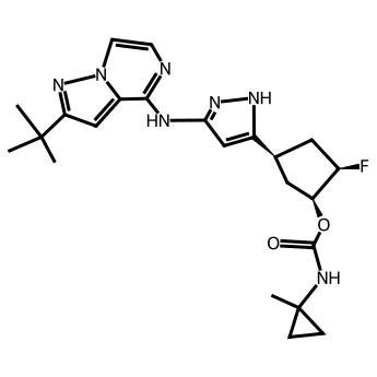 CC1(NC(=O)O[C@H]2C[C@@H](c3cc(Nc4nccn5nc(C(C)(C)C)cc45)n[nH]3)C[C@H]2F)CC1